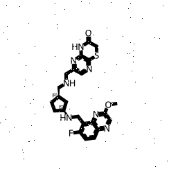 COc1cnc2ccc(F)c(CN[C@H]3CC[C@@H](CNCc4cnc5c(n4)NC(=O)CS5)C3)c2n1